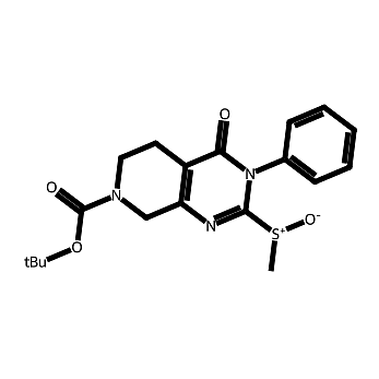 C[S+]([O-])c1nc2c(c(=O)n1-c1ccccc1)CCN(C(=O)OC(C)(C)C)C2